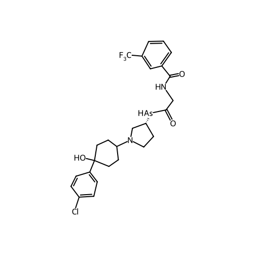 O=C(CNC(=O)c1cccc(C(F)(F)F)c1)[AsH][C@@H]1CCN(C2CCC(O)(c3ccc(Cl)cc3)CC2)C1